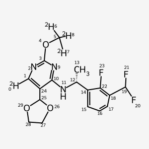 [2H]c1nc(OC([2H])([2H])[2H])nc(N[C@H](C)c2cccc(C(F)F)c2F)c1C1OCCO1